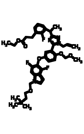 C=CCn1nc(C(C)c2cccc(CCC(=O)OCC)c2F)nc1-c1cc(Oc2c(F)cc3c(ccn3COCC[Si](C)(C)C)c2F)ccc1OCOC